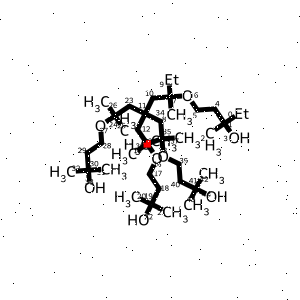 CCC(C)(O)CCOC(C)(CC)CC(CC(C)(C)OCCC(C)(C)O)(CC(C)(C)OCCC(C)(C)O)CC(C)(C)OCCC(C)(C)O